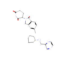 O=C1CCC(N2Cc3cc(C[C@H]4CCCC[C@@H]4NCc4cnccn4)ccc3C2=O)C(=O)N1